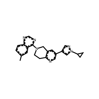 Cc1ccc2ncnc(N3CCc4ncc(-c5cnn(C6CC6)c5)cc4C3)c2c1